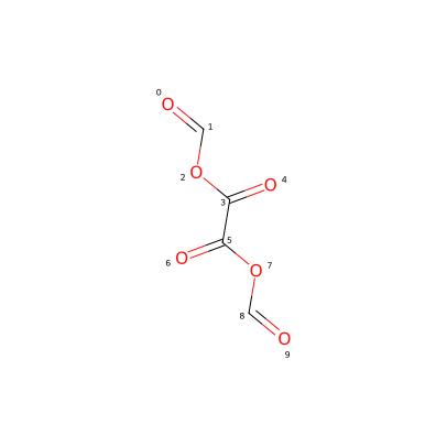 O=COC(=O)C(=O)OC=O